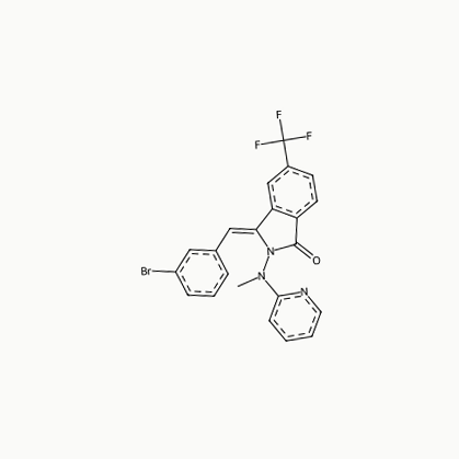 CN(c1ccccn1)N1C(=O)c2ccc(C(F)(F)F)cc2/C1=C/c1cccc(Br)c1